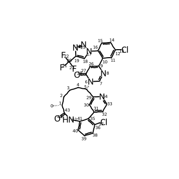 C[C@@H]1CCC[C@H](n2cnc(-c3cc(Cl)ccc3-n3cc(C(F)(F)F)nn3)cc2=O)c2cc(ccn2)-c2c(Cl)cccc2NC1=O